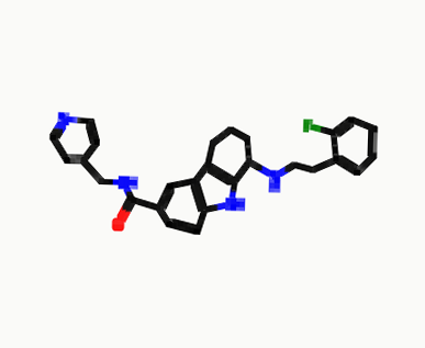 O=C(NCc1ccncc1)c1ccc2[nH]c3c(c2c1)CCCC3NCCc1ccccc1F